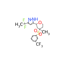 CC(F)(F)c1cc(C2CC(C)(S(=O)(=O)c3cccc(C(F)(F)F)c3)CCO2)[nH]n1